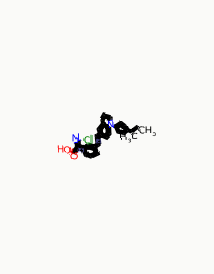 CCC(C)c1ccc(N2CCCc3cc(/C=C/C4=C(Cl)C(=C(\C#N)C(=O)O)/CCC4)ccc32)cc1